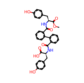 COC(=O)[C@H](Cc1ccc(O)cc1)NC(=O)c1ccccc1-c1ccccc1C(=O)N[C@@H](Cc1ccc(O)cc1)C(=O)O